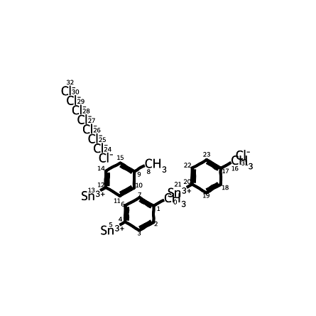 Cc1cc[c]([Sn+3])cc1.Cc1cc[c]([Sn+3])cc1.Cc1cc[c]([Sn+3])cc1.[Cl-].[Cl-].[Cl-].[Cl-].[Cl-].[Cl-].[Cl-].[Cl-].[Cl-]